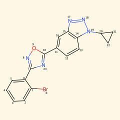 Brc1ccccc1-c1noc(-c2ccc3c(c2)nnn3C2CC2)n1